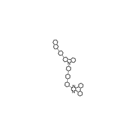 c1cc(-c2ccc(-c3ccc(-n4c5ccccc5c5cc(-c6ccc(-c7ccc8ccccc8c7)cc6)ccc54)cc3)cc2)cc(-c2cnc3c4ccccc4c4ccccc4c3n2)c1